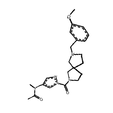 COc1cccc(CN2CCC3(CCN(C(=O)n4cc(N(C)C(C)=O)cn4)C3)C2)c1